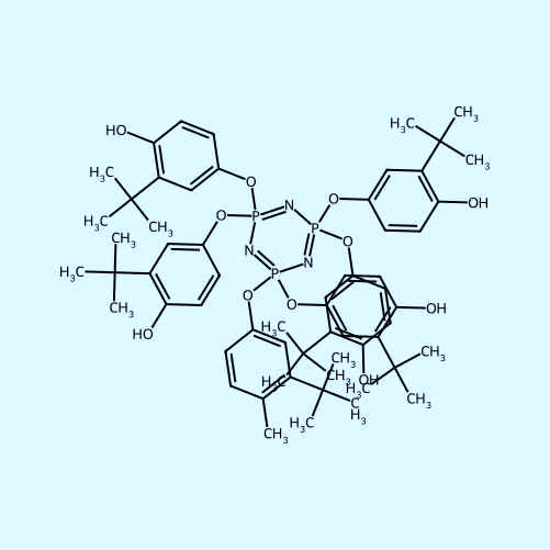 Cc1ccc(OP2(Oc3ccc(O)c(C(C)(C)C)c3)=NP(Oc3ccc(O)c(C(C)(C)C)c3)(Oc3ccc(O)c(C(C)(C)C)c3)=NP(Oc3ccc(O)c(C(C)(C)C)c3)(Oc3ccc(O)c(C(C)(C)C)c3)=N2)cc1C(C)(C)C